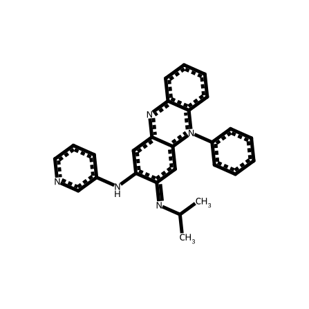 CC(C)/N=c1\cc2n(-c3ccccc3)c3ccccc3nc-2cc1Nc1cccnc1